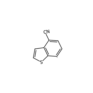 N#Cc1cc[c]c2sccc12